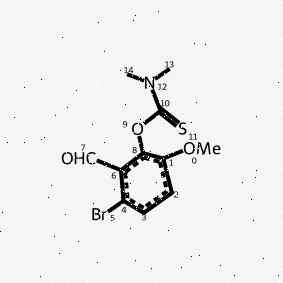 COc1ccc(Br)c(C=O)c1OC(=S)N(C)C